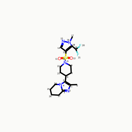 Cc1nc2n(c1C1CCN(S(=O)(=O)c3cnn(C)c3C(F)F)CC1)CCCC2